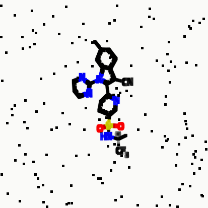 Cc1ccc2c(C#N)c(-c3ccc(S(=O)(=O)N[C@H](C)C(F)(F)F)cn3)n(-c3ncccn3)c2c1